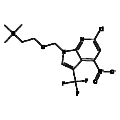 C[Si](C)(C)CCOCn1cc(C(F)(F)F)c2c([N+](=O)[O-])cc(Cl)nc21